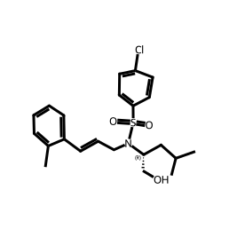 Cc1ccccc1C=CCN([C@@H](CO)CC(C)C)S(=O)(=O)c1ccc(Cl)cc1